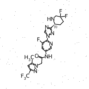 Cc1cc(C(F)(F)F)nn1CC(=O)Nc1cnc(-n2cnc([C@@H]3CCC(F)(F)CN3)n2)c(F)c1